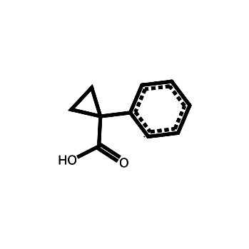 O=C(O)C1(c2[c]cccc2)CC1